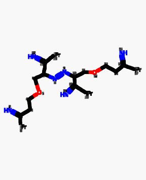 CC(C)C(=N)CCOCC(N=NC(COCCC(=N)C(C)C)C(=N)C(C)C)C(=N)C(C)C